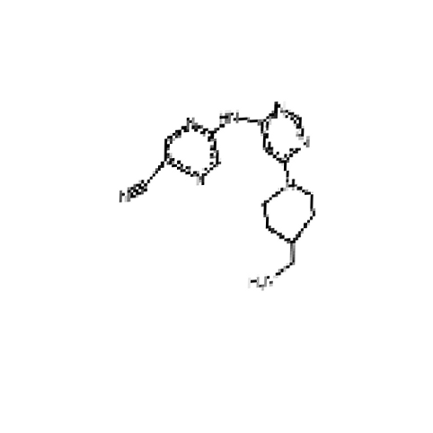 N#Cc1cnc(Nc2cc(N3CCC(CN)CC3)ncn2)cn1